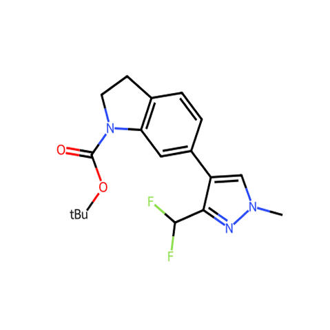 Cn1cc(-c2ccc3c(c2)N(C(=O)OC(C)(C)C)CC3)c(C(F)F)n1